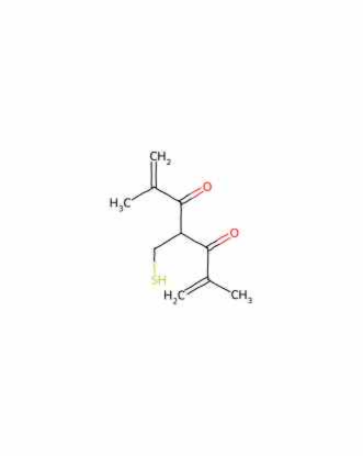 C=C(C)C(=O)C(CS)C(=O)C(=C)C